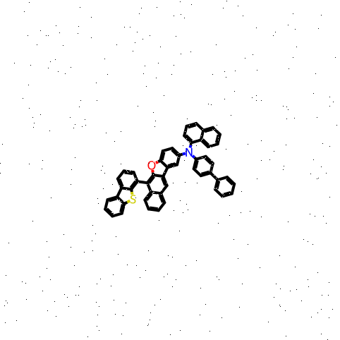 c1ccc(-c2ccc(N(c3ccc4oc5c(-c6cccc7c6sc6ccccc67)c6ccccc6cc5c4c3)c3cccc4ccccc34)cc2)cc1